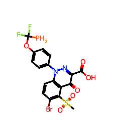 CS(=O)(=O)c1c(Br)ccc2c1c(=O)c(C(=O)O)nn2-c1ccc(OC(F)(F)P)cc1